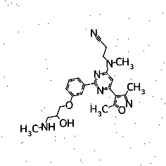 CNCC(O)COc1cccc(-c2nc(-c3c(C)noc3C)cc(N(C)CCC#N)n2)c1